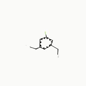 CC(=O)Cc1cc(F)cc(CC(C)C)c1